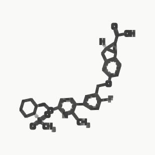 Cc1nc(OC[C@@H]2CCCC[C@H]2S(C)(=O)=O)ccc1-c1ccc(F)c(COc2ccc3c(c2)C[C@H]2C(C(=O)O)=C32)c1